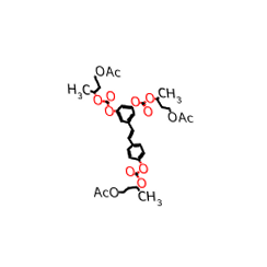 CC(=O)OCCC(C)OC(=O)Oc1ccc(/C=C/c2cc(OC(=O)OC(C)CCOC(C)=O)cc(OC(=O)OC(C)CCOC(C)=O)c2)cc1